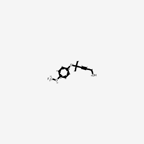 CC(C)(C#CCO)Oc1ccc(OC(F)(F)F)cc1